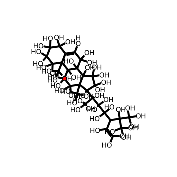 OC(O)=C(O)C(C(O)(O)C(O)(O)C(O)(C(O)(O)O)C1(O)C(O)(O)C(O)(O)C2(O)C3(O)C(O)(O)C(O)=C4C(O)(O)C(O)(O)C(O)(O)C(O)(O)C4(C(O)(O)O)C3(O)C(O)(O)C(O)(O)C12C(O)(O)O)C(O)(C(O)(O)O)C(O)(O)O